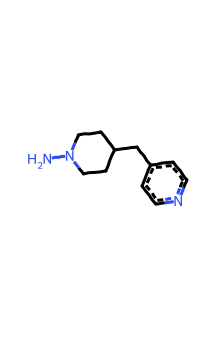 NN1CCC(Cc2ccncc2)CC1